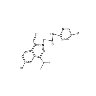 O=S=c1c2ccc(Br)cc2c(C(F)F)nn1CC(=O)Nc1ncc(F)cn1